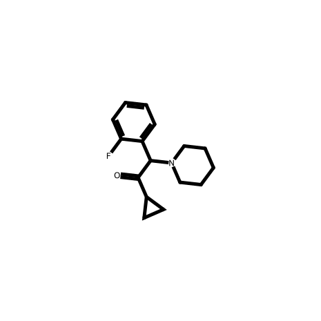 O=C(C1CC1)C(c1ccccc1F)N1CCCCC1